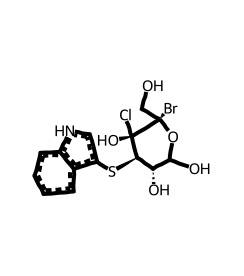 OC[C@@]1(Br)OC(O)[C@H](O)[C@@H](Sc2c[nH]c3ccccc23)[C@]1(O)Cl